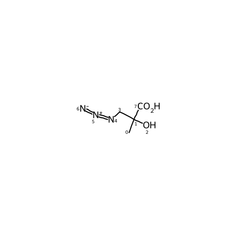 CC(O)(CN=[N+]=[N-])C(=O)O